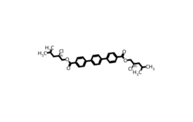 CC(C)C[C@@H](Cl)COC(=O)c1ccc(-c2ccc(-c3ccc(C(=O)OC[C@H](Cl)CC(C)C)cc3)cc2)cc1